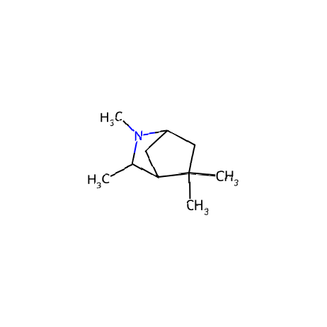 CC1C2CC(CC2(C)C)N1C